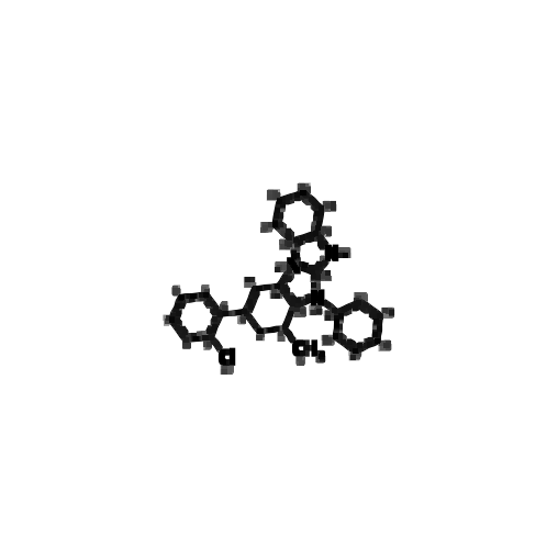 CC1CC(c2ccccc2Cl)=Cc2c1n(-c1ccccc1)c1nc3ccccc3n21